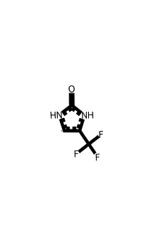 O=c1[nH][c]c(C(F)(F)F)[nH]1